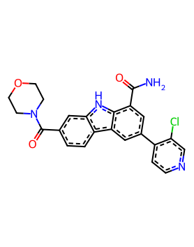 NC(=O)c1cc(-c2ccncc2Cl)cc2c1[nH]c1cc(C(=O)N3CCOCC3)ccc12